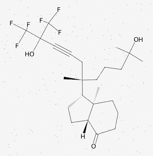 CC(C)(O)CCC[C@@](C)(CC#CC(O)(C(F)(F)F)C(F)(F)F)[C@H]1CC[C@H]2C(=O)CCC[C@]12C